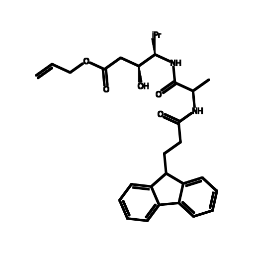 C=CCOC(=O)C[C@H](O)[C@H](NC(=O)C(C)NC(=O)CCC1c2ccccc2-c2ccccc21)C(C)C